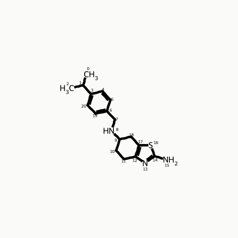 CC(C)c1ccc(CNC2CCc3nc(N)sc3C2)cc1